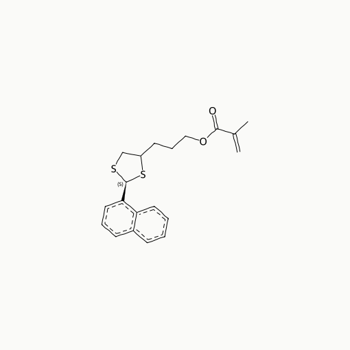 C=C(C)C(=O)OCCCC1CS[C@H](c2cccc3ccccc23)S1